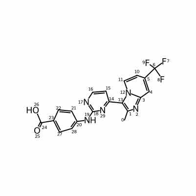 Cc1nc2cc(C(F)(F)F)ccn2c1-c1ccnc(Nc2ccc(C(=O)O)cc2)n1